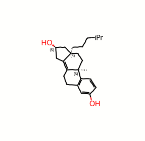 CC(C)CCC[C@]12CC[C@]3(C)C(=C1C[C@@H](O)C2)CCc1cc(O)ccc13